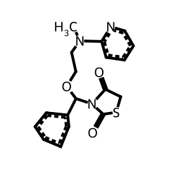 CN(CCOC(c1ccccc1)N1C(=O)CSC1=O)c1ccccn1